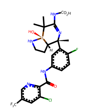 CC1(C)C(NC(=O)O)=N[C@](C)(c2cc(NC(=O)c3ncc(C(F)(F)F)cc3Cl)ccc2F)[C@@H]2CCN[S@@]21O